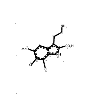 COc1cc2c(CCN)c(C(=O)O)[nH]c2c(Cl)c1Cl